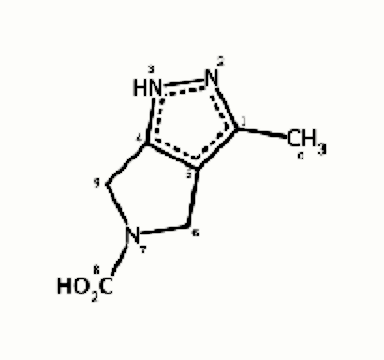 Cc1n[nH]c2c1CN(C(=O)O)C2